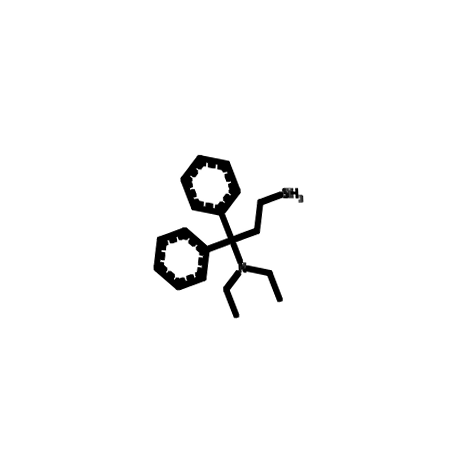 CCN(CC)C(CC[SiH3])(c1ccccc1)c1ccccc1